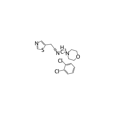 CN1CCOCC1.Clc1ccccc1Cl.N#CCc1cncs1